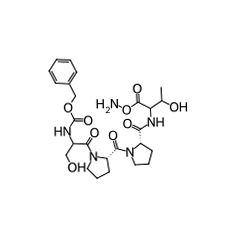 CC(O)C(NC(=O)[C@@H]1CCCN1C(=O)[C@@H]1CCCN1C(=O)C(CO)NC(=O)OCc1ccccc1)C(=O)ON